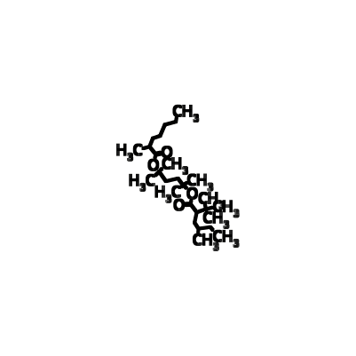 CCCCCC(C)C(=O)OC(C)(C)CCC(C)(C)OC(=O)C(CC(C)CC)C(C)(C)C